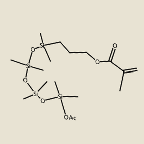 C=C(C)C(=O)OCCC[Si](C)(C)O[Si](C)(C)O[Si](C)(C)O[Si](C)(C)OC(C)=O